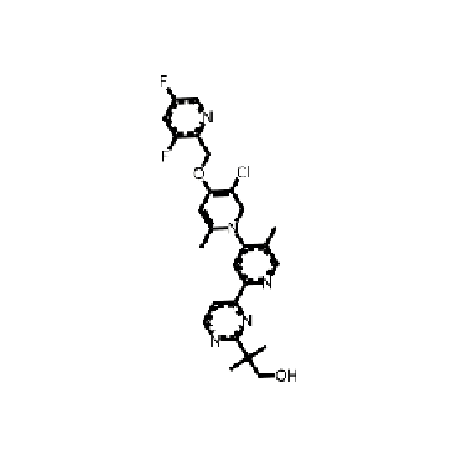 CC1=CC(OCc2ncc(F)cc2F)=C(Cl)CN1c1cc(-c2ccnc(C(C)(C)CO)n2)ncc1C